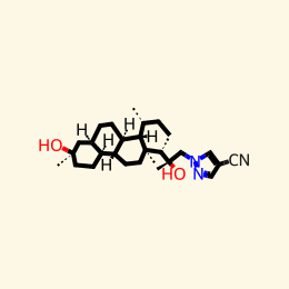 C[C@@H]1CC[C@H]([C@@](C)(O)Cn2cc(C#N)cn2)[C@@]2(C)CC[C@H]3[C@@H](CC[C@@H]4C[C@](C)(O)CC[C@@H]43)[C@H]12